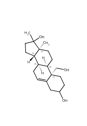 CC1(O)CC[C@H]2[C@@H]3CC=C4CC(O)CC[C@]4(CO)[C@@H]3CC[C@@]21C